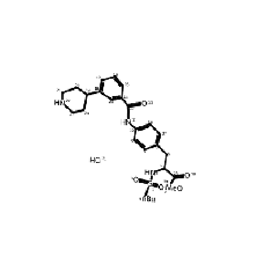 CCCCS(=O)(=O)NC(Cc1ccc(NC(=O)c2cccc(C3CCNCC3)c2)cc1)C(=O)OC.Cl